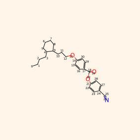 CCCCC1CCCCC1CCCOc1ccc(C(=O)Oc2ccc(C#N)cc2)cc1